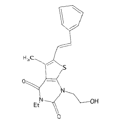 CCn1c(=O)c2c(C)c(/C=C/c3ccccc3)sc2n(CCO)c1=O